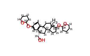 C[C@]12CCC3c4ccc(OC5CCCCO5)cc4[C@@H](CO)CC3C1CC[C@@H]2OC1CCCCO1